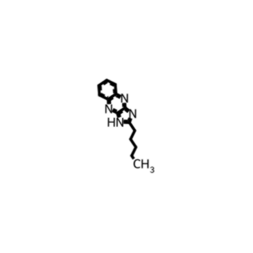 CCCCCc1nc2nc3ccccc3nc2[nH]1